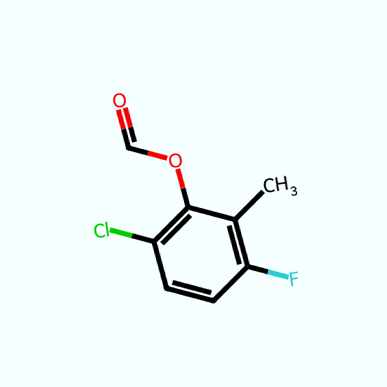 Cc1c(F)ccc(Cl)c1OC=O